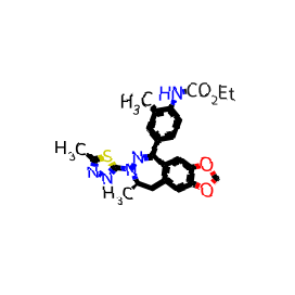 CCOC(=O)Nc1ccc(C2=NN(c3nnc(C)s3)[C@H](C)Cc3cc4c(cc32)OCO4)cc1C